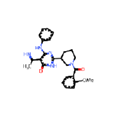 COc1ccccc1C(=O)N1CCCC(c2nc(Nc3ccccc3)c(C(C)=N)c(=O)[nH]2)C1